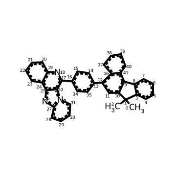 CC1(C)c2ccccc2-c2c1cc(-c1ccc(-c3nc4ccccc4c4nc5ccccn5c34)cc1)c1ccccc21